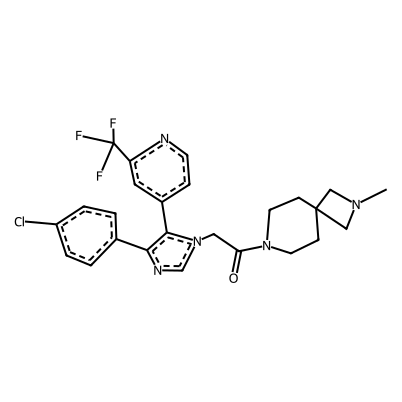 CN1CC2(CCN(C(=O)Cn3cnc(-c4ccc(Cl)cc4)c3-c3ccnc(C(F)(F)F)c3)CC2)C1